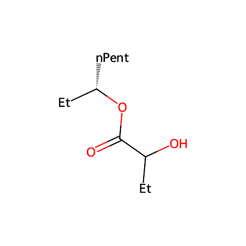 CCCCC[C@@H](CC)OC(=O)C(O)CC